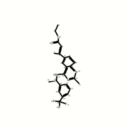 CCOC(=O)/C=C(\C)c1ccc2nc(C)nc(N[C@H](C)c3cccc(C(F)(F)F)c3)c2c1